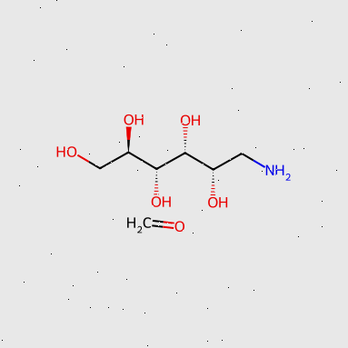 C=O.NC[C@H](O)[C@@H](O)[C@H](O)[C@H](O)CO